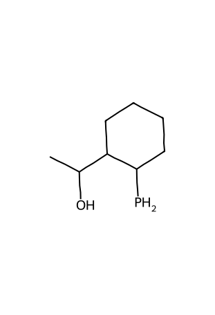 CC(O)C1CCCCC1P